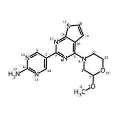 COC1CN(c2nc(-c3cnc(N)nc3)nc3sccc23)CCO1